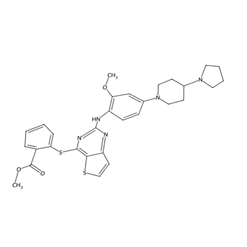 COC(=O)c1ccccc1Sc1nc(Nc2ccc(N3CCC(N4CCCC4)CC3)cc2OC)nc2ccsc12